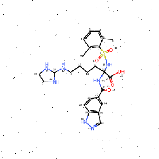 Cc1cccc(C)c1S(=O)(=O)NC(CCCCNC1NCCN1)(NC(=O)c1ccc2[nH]ncc2c1)C(=O)O